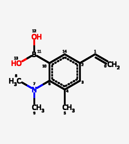 C=Cc1cc(C)c(N(C)C)c(B(O)O)c1